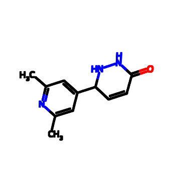 Cc1cc(C2C=CC(=O)NN2)cc(C)n1